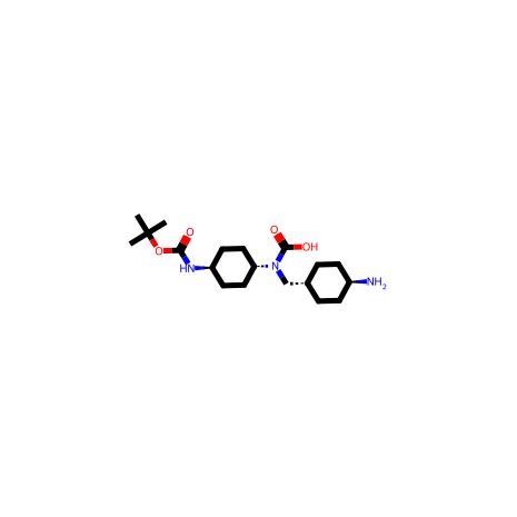 CC(C)(C)OC(=O)N[C@H]1CC[C@H](N(C[C@H]2CC[C@H](N)CC2)C(=O)O)CC1